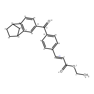 CCOC(=O)/C=C/c1ccc(C(=O)c2ccc3c(c2)C2CCC3C2)cc1